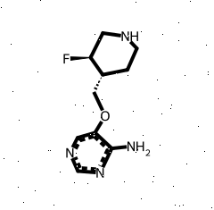 Nc1ncncc1OC[C@H]1CCNC[C@@H]1F